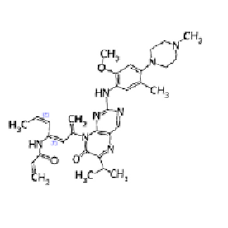 C=CC(=O)NC(/C=C\C)=C/C(=C)n1c(=O)c(C(C)C)nc2cnc(Nc3cc(C)c(N4CCN(C)CC4)cc3OC)nc21